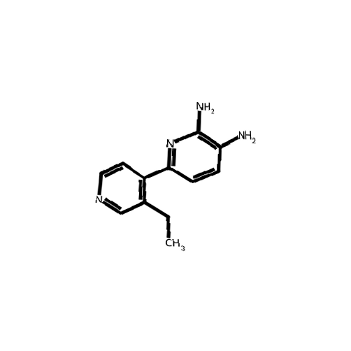 CCc1cnccc1-c1ccc(N)c(N)n1